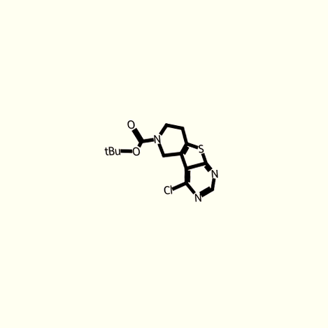 CC(C)(C)OC(=O)N1CCc2sc3ncnc(Cl)c3c2C1